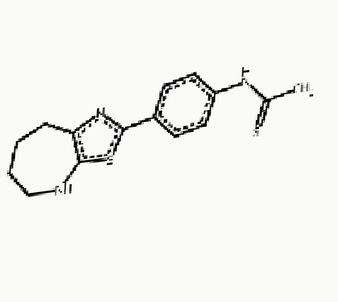 CC(=S)Nc1ccc(-c2nc3c(s2)NCCCC3)cc1